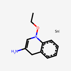 CCON1C=C(N)Cc2ccccc21.[Sn]